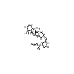 CNC(=O)c1cc(Oc2ccc3c(c2)nc(Nc2ccccc2I)n3C)ccn1